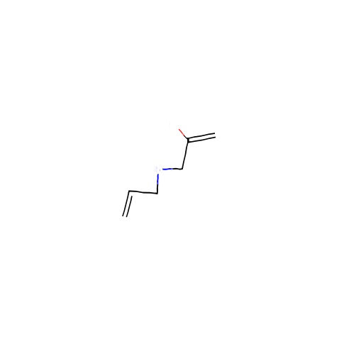 C=CCNCC(=C)O.Cl